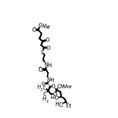 CCC(O)CC(O)CC1(OC)OCC(C)(C)[C@H](C(=O)NCCC(=O)NCCSC(=O)CC(=O)CCC(=O)OC)O1